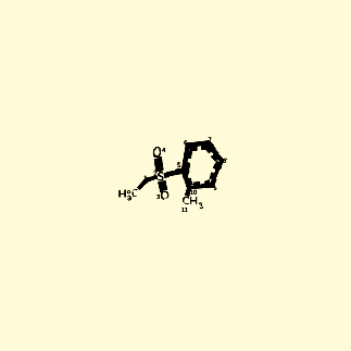 CCS(=O)(=O)c1cc[c]cc1C